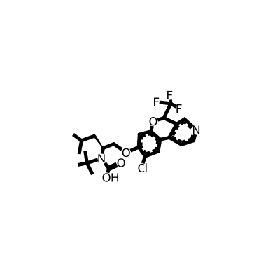 CC(C)C[C@@H](COc1cc2c(cc1Cl)-c1ccncc1C(C(F)(F)F)O2)N(C(=O)O)C(C)(C)C